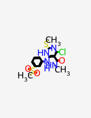 CNC(=O)C1=C(Nc2cccc(S(C)(=O)=O)c2)NC(SC)N=C1Cl